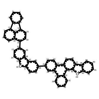 c1ccc2c(c1)-c1cccc3c(-c4ccc5oc6ccc(-c7ccc8c(c7)c7ccccc7c7c8ccc8c9ccccc9oc87)cc6c5c4)ccc-2c13